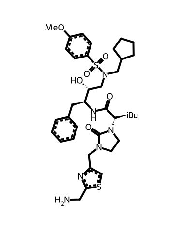 CC[C@H](C)[C@@H](C(=O)N[C@@H](Cc1ccccc1)[C@H](O)CN(CC1CCCC1)S(=O)(=O)c1ccc(OC)cc1)N1CCN(Cc2csc(CN)n2)C1=O